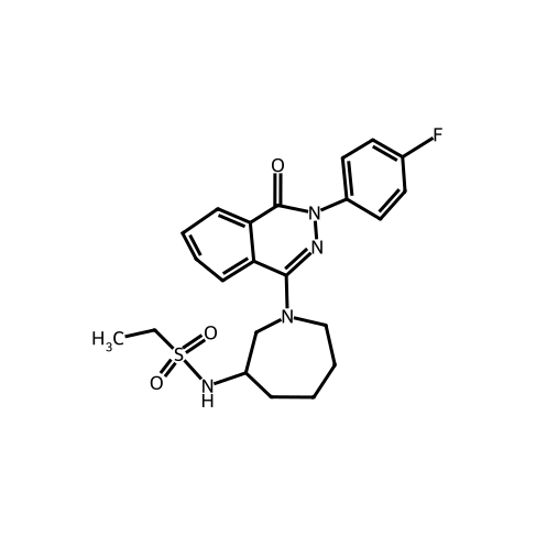 CCS(=O)(=O)NC1CCCCN(c2nn(-c3ccc(F)cc3)c(=O)c3ccccc23)C1